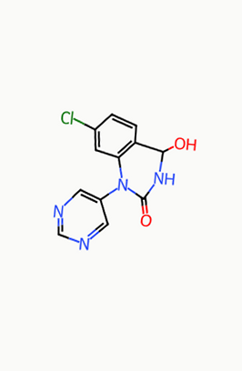 O=C1NC(O)c2ccc(Cl)cc2N1c1cncnc1